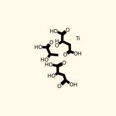 CC(O)C(=O)O.O=C(O)CC(O)C(=O)O.O=C(O)CC(O)C(=O)O.[Ti]